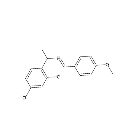 COc1ccc(C=NC(C)c2ccc(Cl)cc2Cl)cc1